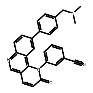 CN(C)Cc1ccc(-c2ccc3ncc4ccc(=O)n(-c5cccc(C#N)c5)c4c3c2)cc1